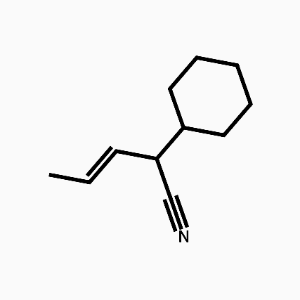 CC=CC(C#N)C1CCCCC1